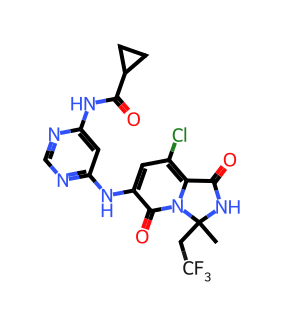 CC1(CC(F)(F)F)NC(=O)c2c(Cl)cc(Nc3cc(NC(=O)C4CC4)ncn3)c(=O)n21